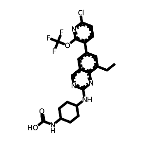 CCc1cc(-c2ccc(Cl)nc2OC(F)(F)F)cc2cnc(NC3CCC(NC(=O)O)CC3)nc12